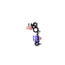 CC[C@H]1[C@@H](O)C2CCCC(CCCNC(=O)NSN3[C@H](C)CCC[C@@H]3C)[C@@H](C)CCC2[C@@]2(C)CCCC[C@@H]12